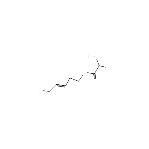 CC/C=C/CCOC(=O)C(C)C